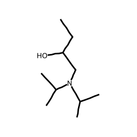 CCC(O)CN(C(C)C)C(C)C